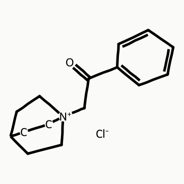 O=C(C[N+]12CCC(CC1)CC2)c1ccccc1.[Cl-]